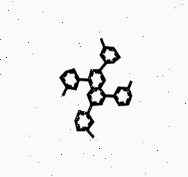 Cc1cccc(-c2cc(-c3cccc(C)c3)c3cc(-c4cccc(C)c4)cc(-c4cccc(C)c4)c3c2)c1